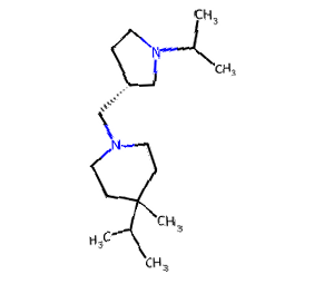 CC(C)N1CC[C@@H](CN2CCC(C)(C(C)C)CC2)C1